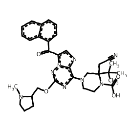 CN1CCCC1COc1nc(N2CCN(C(=O)O)C(CC#N)(C(C)(C)C)C2)c2ncc(C(=O)c3cccc4ccccc34)n2n1